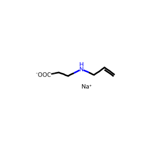 C=CCNCCC(=O)[O-].[Na+]